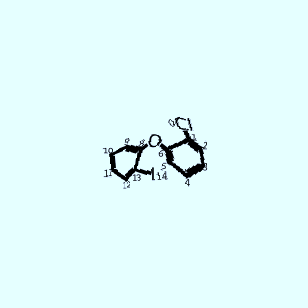 Clc1ccccc1Oc1ccccc1I